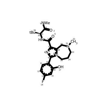 CNC(=O)[C@@H](NC(=O)c1nc(-c2ccc(F)cc2O)n2c1CN(C)CCC2)C(C)(C)C